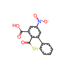 O=C(O)c1cc([N+](=O)[O-])cc(-c2ccccc2)c1C(=O)S